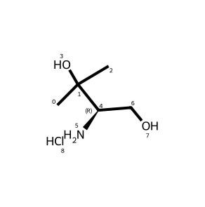 CC(C)(O)[C@H](N)CO.Cl